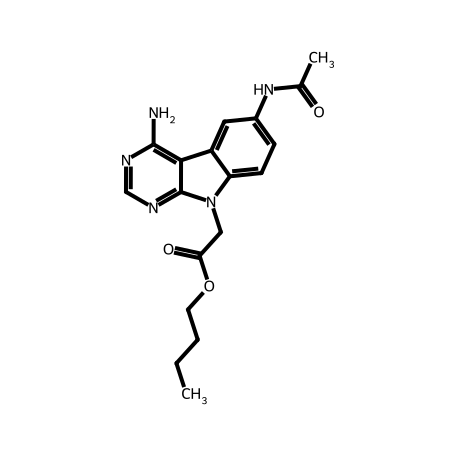 CCCCOC(=O)Cn1c2ccc(NC(C)=O)cc2c2c(N)ncnc21